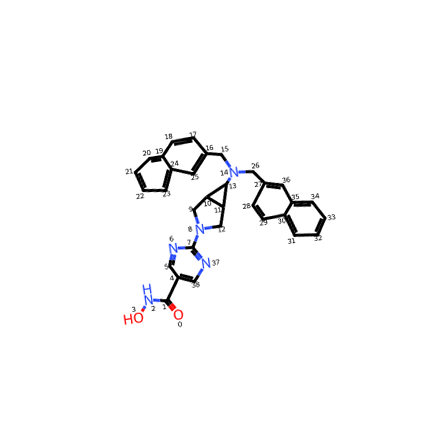 O=C(NO)c1cnc(N2CC3C(C2)C3N(Cc2ccc3ccccc3c2)Cc2ccc3ccccc3c2)nc1